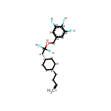 C=CCC[C@H]1CC[C@H](CC(F)(F)OCc2cc(F)c(F)c(F)c2)CC1